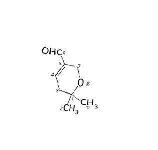 CC1(C)CC=C(C=O)CO1